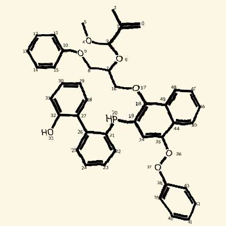 C=C(C)C(OC)OC(COc1ccccc1)COc1c(Pc2ccccc2-c2ccccc2O)cc(OOc2ccccc2)c2ccccc12